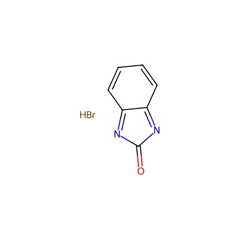 Br.O=C1N=c2ccccc2=N1